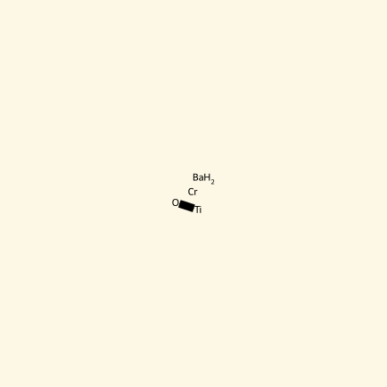 [BaH2].[Cr].[O]=[Ti]